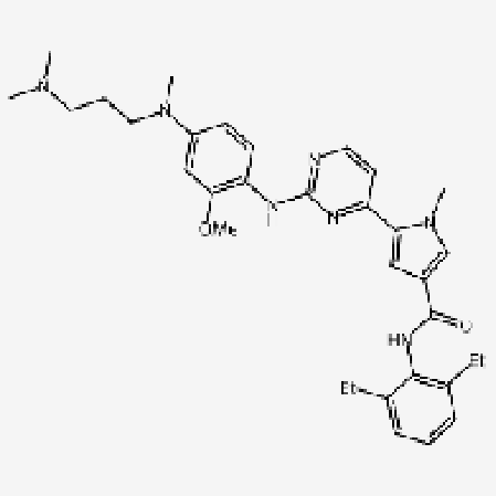 CCc1cccc(CC)c1NC(=O)c1cc(-c2ccnc(Nc3ccc(N(C)CCCN(C)C)cc3OC)n2)n(C)c1